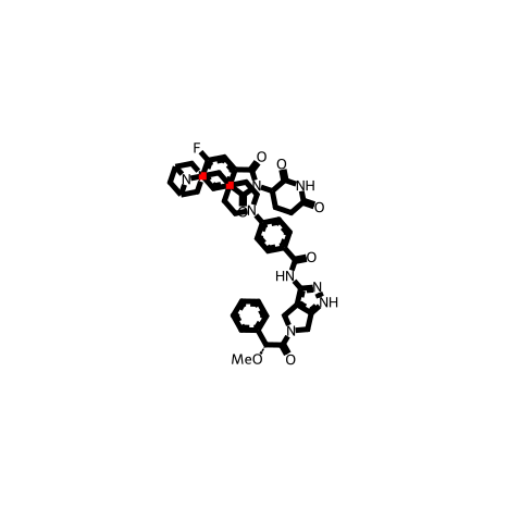 CO[C@@H](C(=O)N1Cc2[nH]nc(NC(=O)c3ccc(N4CCC(CN5CC6CC(C5)N6c5cc6c(cc5F)C(=O)N(C5CCC(=O)NC5=O)C6=O)CC4)cc3)c2C1)c1ccccc1